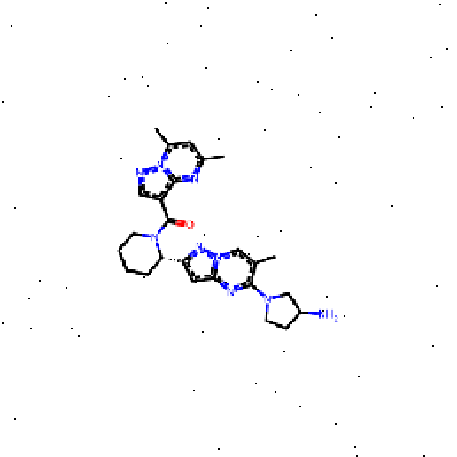 Cc1cc(C)n2ncc(C(=O)N3CCCC[C@H]3c3cc4nc(N5CC[C@H](N)C5)c(C)cn4n3)c2n1